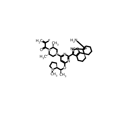 C=C(F)C(=O)N1[C@@H](C)CN(c2cc(O[C@@H](C)[C@@H]3CCCN3C)nc(-c3noc4c3CCC[C@@]43CCCc4sc(N)c(C#N)c43)n2)C[C@@H]1C